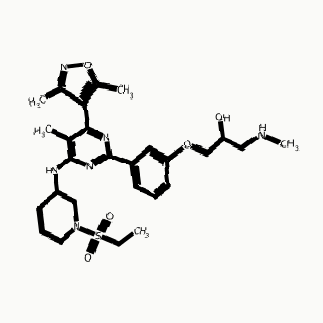 CCS(=O)(=O)N1CCCC(Nc2nc(-c3cccc(OCC(O)CNC)c3)nc(-c3c(C)noc3C)c2C)C1